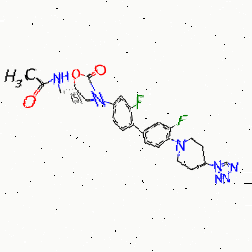 CC(=O)NC[C@H]1CN(c2ccc(-c3ccc(N4CCC(n5cnnn5)CC4)c(F)c3)c(F)c2)C(=O)O1